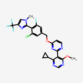 COc1ncnc(C2CC2)c1-c1nccc(OCc2cc(F)c(-c3nc(C(F)(F)F)cn3C)c(Cl)c2)n1